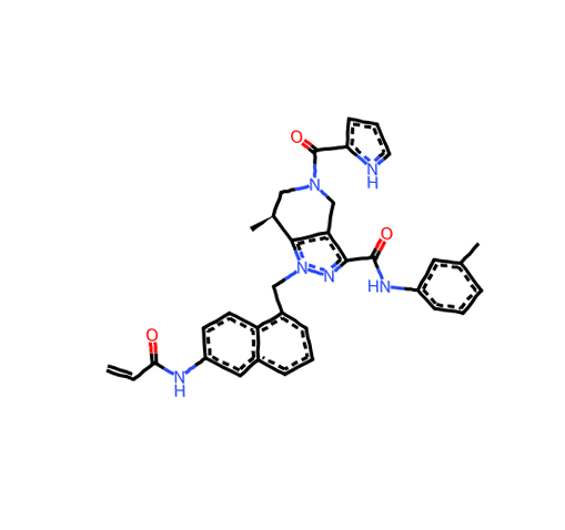 C=CC(=O)Nc1ccc2c(Cn3nc(C(=O)Nc4cccc(C)c4)c4c3[C@@H](C)CN(C(=O)c3ccc[nH]3)C4)cccc2c1